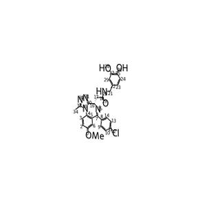 COc1ccc2c(c1)C(c1ccc(Cl)cc1)=N[C@@H](CC(=O)NCc1ccc(O)c(O)c1)c1nnc(C)n1-2